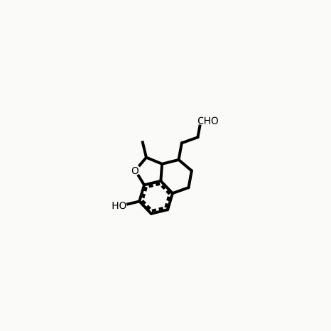 CC1Oc2c(O)ccc3c2C1C(CCC=O)CC3